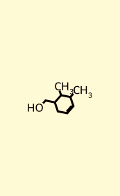 CC1C=CCC(CO)C1C